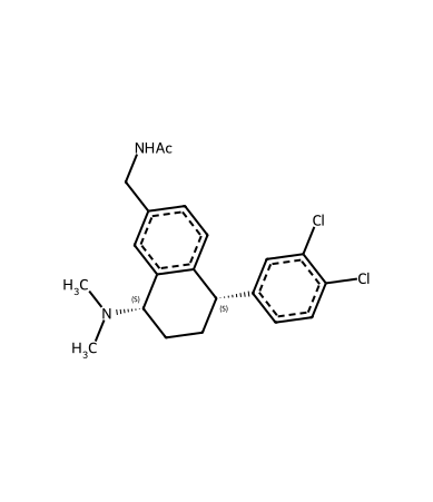 CC(=O)NCc1ccc2c(c1)[C@@H](N(C)C)CC[C@H]2c1ccc(Cl)c(Cl)c1